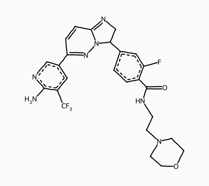 Nc1ncc(C2=NN3C(=NCC3c3ccc(C(=O)NCCN4CCOCC4)c(F)c3)C=C2)cc1C(F)(F)F